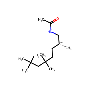 CC(=O)NC[C@H](C)CCC(C)(C)CC(C)(C)C